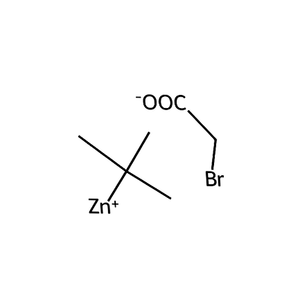 C[C](C)(C)[Zn+].O=C([O-])CBr